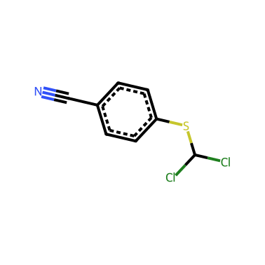 N#Cc1ccc(SC(Cl)Cl)cc1